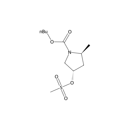 CCCCOC(=O)N1C[C@@H](OS(C)(=O)=O)C[C@@H]1C